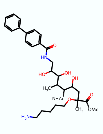 COC(=O)C(C)(CC(O)C(NC(C)=O)C(C)C(O)C(O)CNC(=O)c1ccc(-c2ccccc2)cc1)OCCCCCN